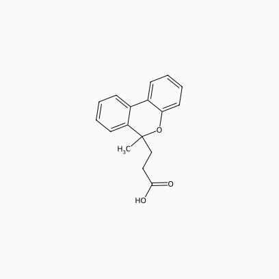 CC1(CCC(=O)O)Oc2ccccc2-c2ccccc21